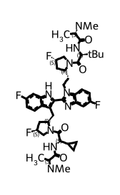 CN[C@@H](C)C(=O)N[C@H](C(=O)N1C[C@@H](F)C[C@H]1Cc1c(-c2nc3cc(F)ccc3n2CC[C@@H]2C[C@H](F)CN2C(=O)[C@@H](NC(=O)[C@H](C)NC)C(C)(C)C)[nH]c2cc(F)ccc12)C1CC1